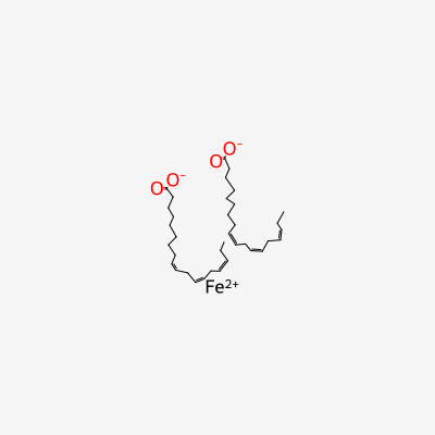 CC/C=C\C/C=C\C/C=C\CCCCCCCC(=O)[O-].CC/C=C\C/C=C\C/C=C\CCCCCCCC(=O)[O-].[Fe+2]